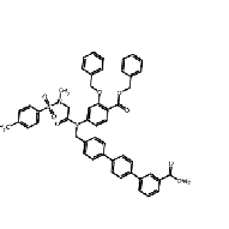 COC(=O)c1cccc(-c2ccc(-c3ccc(CN(C(=O)CN(C)S(=O)(=O)c4ccc(C)cc4)c4ccc(C(=O)OCc5ccccc5)c(OCc5ccccc5)c4)cc3)cc2)c1